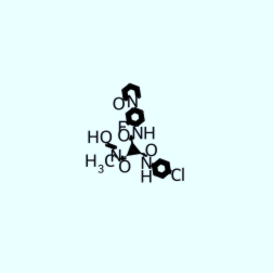 CN(CCO)C(=O)[C@H]1[C@H](C(=O)Nc2ccc(Cl)cc2)[C@@H]1C(=O)Nc1ccc(-n2ccccc2=O)cc1F